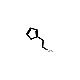 O=CCCC1=CC=CC1